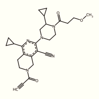 C#CC(=O)N1CCc2c(C3CC3)nc(N3CCN(C(=O)CCOC)C(C4CC4)C3)c(C#N)c2C1